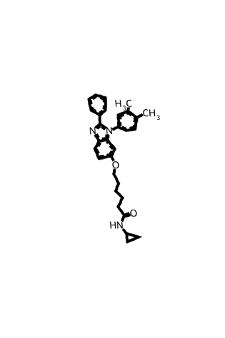 Cc1ccc(-n2c(-c3ccccc3)nc3ccc(OCCCCCC(=O)NC4CC4)cc32)cc1C